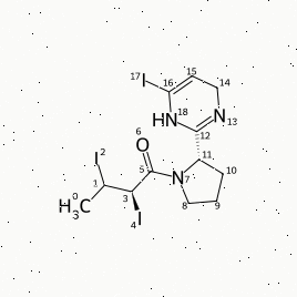 CC(I)[C@H](I)C(=O)N1CCC[C@H]1C1=NCC=C(I)N1